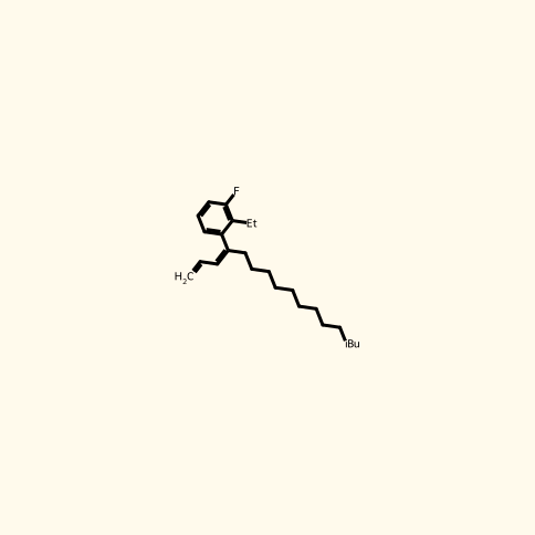 C=C/C=C(/CCCCCCCCCC(C)CC)c1cccc(F)c1CC